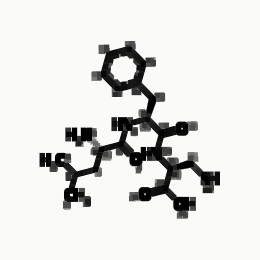 CC(C)C[C@H](N)C(=O)N[C@@H](Cc1ccccc1)C(=O)N[C@@H](CS)C(=O)O